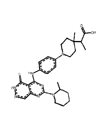 CC1CCCCN1c1nc(Nc2ccc(N3CCC(C)(C(C)C(=O)O)CC3)cc2)c2c(=O)[nH]ncc2n1